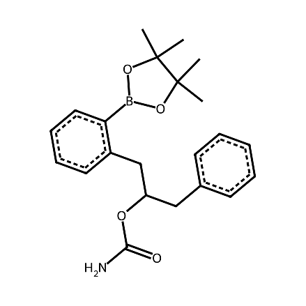 CC1(C)OB(c2ccccc2CC(Cc2ccccc2)OC(N)=O)OC1(C)C